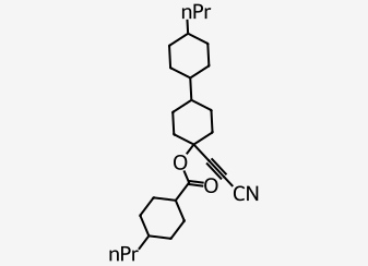 CCCC1CCC(C(=O)OC2(C#CC#N)CCC(C3CCC(CCC)CC3)CC2)CC1